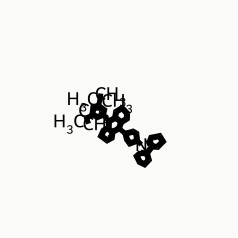 CC(C)(C)c1cc(-c2c3ccccc3c(-c3ccc(-n4c5ccccc5c5ccccc54)cc3)c3ccccc23)cc(C(C)(C)C)c1